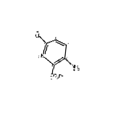 CCOC(=O)c1nc(Cl)ccc1N